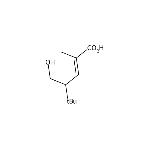 CC(=CC(CO)C(C)(C)C)C(=O)O